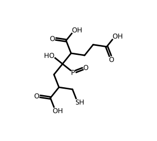 O=PC(O)(CC(CS)C(=O)O)C(CCC(=O)O)C(=O)O